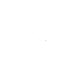 O=C(O)CN(CCN(CC(=O)O)C(C(=O)O)C1CCCCC1)CC(=O)O